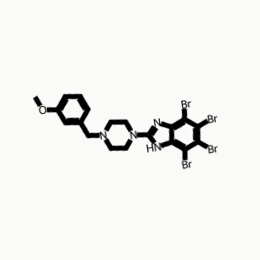 COc1cccc(CN2CCN(c3nc4c(Br)c(Br)c(Br)c(Br)c4[nH]3)CC2)c1